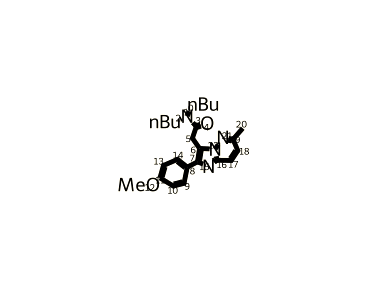 CCCCN(CCCC)C(=O)Cc1c(-c2ccc(OC)cc2)nc2ccc(C)nn12